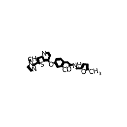 Cc1ccc(CNC(=O)Cc2ccc(Oc3ccnc4cc(-c5nccn5C)sc34)cc2Cl)o1